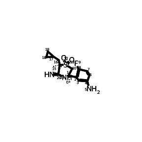 C[C@@]1(c2cc(N)ccc2F)CS(=O)(=O)[C@](C)(CC2CC2)C(=N)N1